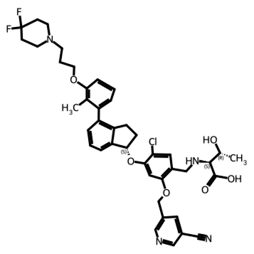 Cc1c(OCCCN2CCC(F)(F)CC2)cccc1-c1cccc2c1CC[C@@H]2Oc1cc(OCc2cncc(C#N)c2)c(CN[C@H](C(=O)O)[C@@H](C)O)cc1Cl